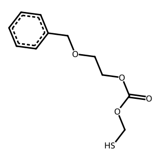 O=C(OCS)OCCOCc1ccccc1